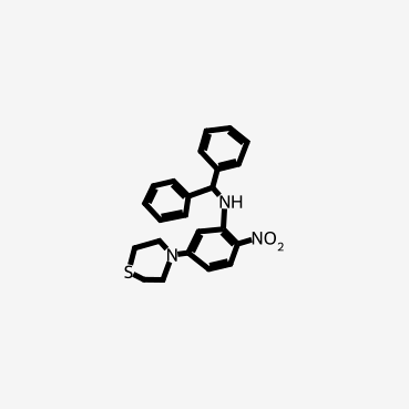 O=[N+]([O-])c1ccc(N2CCSCC2)cc1NC(c1ccccc1)c1ccccc1